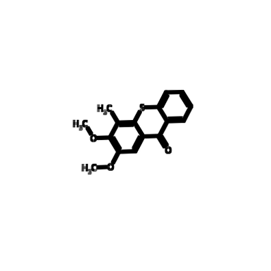 COc1cc2c(=O)c3ccccc3sc2c(C)c1OC